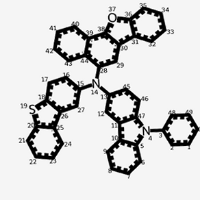 c1ccc(-n2c3ccccc3c3cc(N(c4ccc5sc6ccccc6c5c4)c4cc5c6ccccc6oc5c5ccccc45)ccc32)cc1